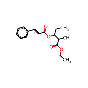 CCOC(=O)C(C)C(CC)OC(=O)/C=C/c1ccccc1